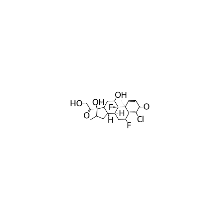 CC1C[C@H]2[C@@H]3CC(F)C4=C(Cl)C(=O)C=C[C@]4(C)[C@@]3(F)C(O)C[C@]2(C)[C@@]1(O)C(=O)CO